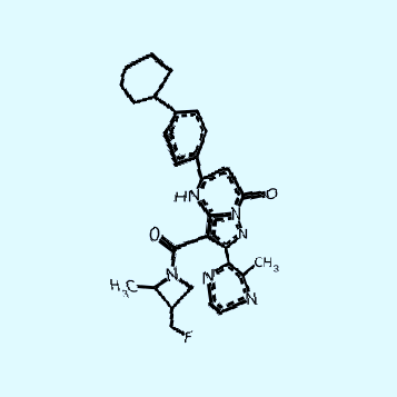 Cc1nccnc1-c1nn2c(=O)cc(-c3ccc(C4CCCCC4)cc3)[nH]c2c1C(=O)N1CC(CF)C1C